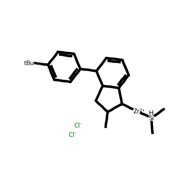 CC1CC2C(=CC=CC2c2ccc(C(C)(C)C)cc2)[CH]1[Zr+2][SiH](C)C.[Cl-].[Cl-]